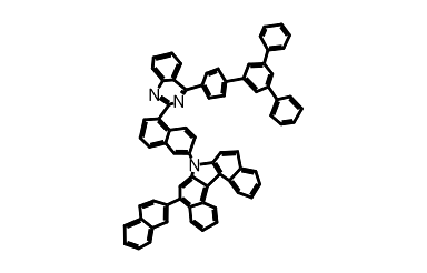 c1ccc(-c2cc(-c3ccccc3)cc(-c3ccc(-c4nc(-c5cccc6cc(-n7c8ccc9ccccc9c8c8c9ccccc9c(-c9ccc%10ccccc%10c9)cc87)ccc56)nc5ccccc45)cc3)c2)cc1